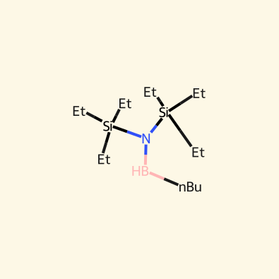 [CH2]CCCBN([Si](CC)(CC)CC)[Si](CC)(CC)CC